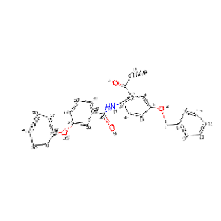 COC(=O)c1cc(OCc2ccccc2)ccc1NC(=O)c1cccc(Oc2ccccc2)c1